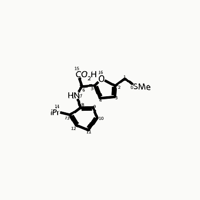 CSCc1ccc(C(Nc2ccccc2C(C)C)C(=O)O)o1